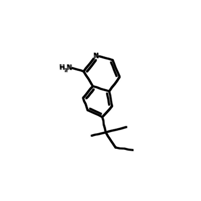 CCC(C)(C)c1ccc2c(N)nccc2c1